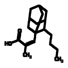 CCCCC1C2CC3CC(C2)CC1(C=C(C)C(=O)O)C3